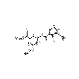 COC(=O)CC[C@@H](CNc1cccc(Br)c1F)NC(=O)OC(C)(C)C